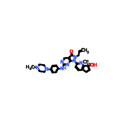 C=CCn1c(=O)c2cnc(Nc3ccc(N4CCN(C)CC4)cc3)nc2n1-c1ccc2c(n1)[C@](O)(C(F)(F)F)CC2